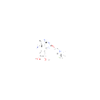 COc1ccc(-c2nc(OCCN3CCC(F)(F)C3)nc3c2C(C#N)CN3)cc1OC